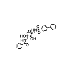 O=C(NC[C@]1(O)CO[C@H](CNS(=O)(=O)c2ccc(-c3ccccc3)cc2)[C@H]1O)c1ccccc1